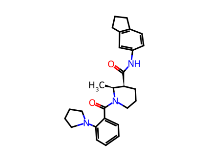 C[C@H]1[C@@H](C(=O)Nc2ccc3c(c2)CCC3)CCCN1C(=O)c1ccccc1N1CCCC1